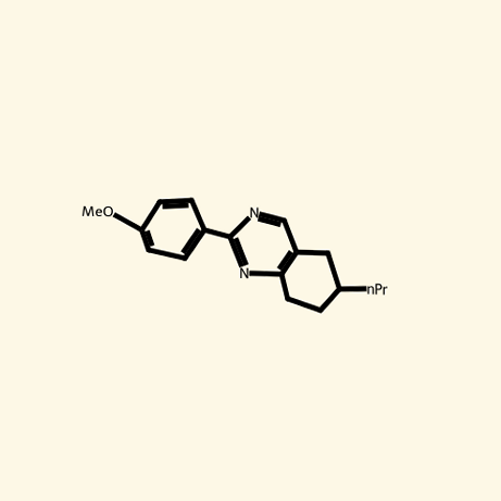 CCCC1CCc2nc(-c3ccc(OC)cc3)ncc2C1